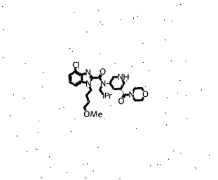 COCCCCn1c(C(=O)N(CC(C)C)[C@@H]2CNC[C@H](C(=O)N3CCOCC3)C2)nc2c(Cl)cccc21